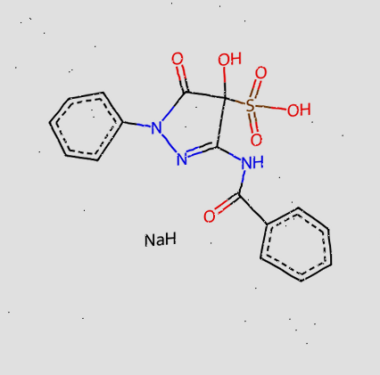 O=C(NC1=NN(c2ccccc2)C(=O)C1(O)S(=O)(=O)O)c1ccccc1.[NaH]